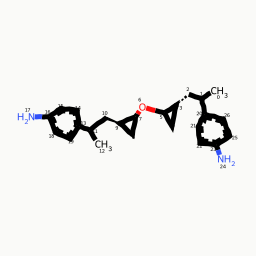 CC(C[C@@H]1CC1OC1C[C@H]1CC(C)c1ccc(N)cc1)c1ccc(N)cc1